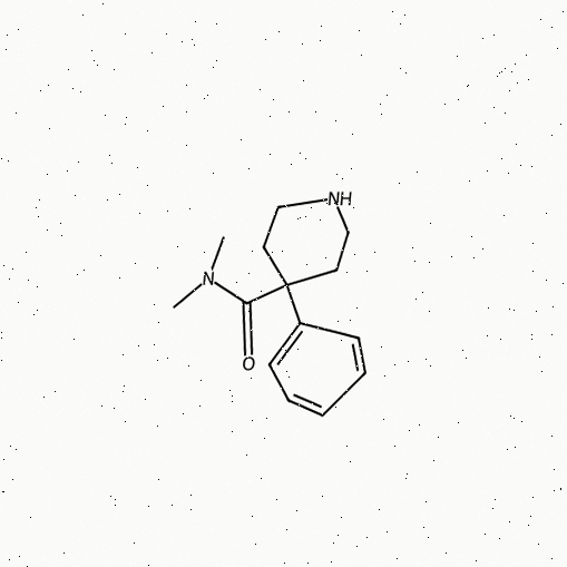 CN(C)C(=O)C1(c2ccccc2)CCNCC1